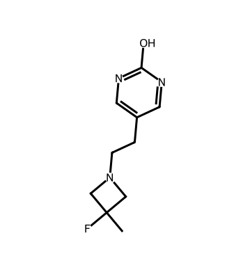 CC1(F)CN(CCc2cnc(O)nc2)C1